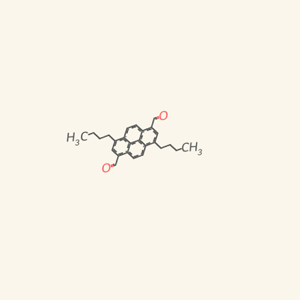 CCCCc1cc(C=O)c2ccc3c(CCCC)cc(C=O)c4ccc1c2c43